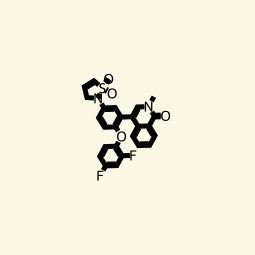 Cn1cc(-c2cc(N3CC=CS3(=O)=O)ccc2Oc2ccc(F)cc2F)c2ccccc2c1=O